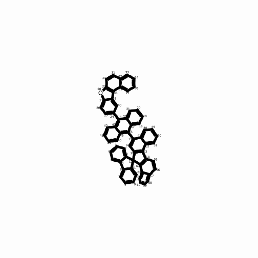 c1ccc2c(c1)-c1ccccc1C21c2cc(-c3c4ccccc4c(-c4ccc5oc6ccc7ccccc7c6c5c4)c4ccccc34)c3ccccc3c2-c2ccc3ccccc3c21